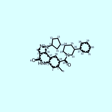 Cc1cc2[nH]c(=O)c3cnn(C4CCCC4)c3c2cc1C(=O)N1CCCC(c2ccccc2)C1